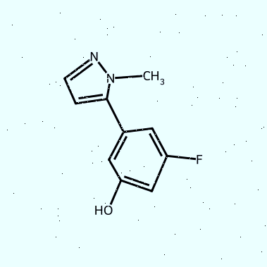 Cn1nccc1-c1cc(O)cc(F)c1